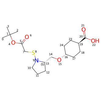 CC(C)(C)OC(=O)CSN1CCC[C@H]1CO[C@H]1CC[C@H](C(=O)O)CC1